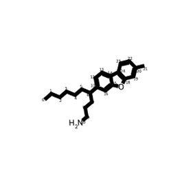 CCCCCCC(CCCN)c1ccc2c(c1)oc1cc(C)ccc12